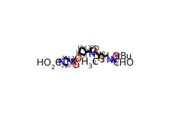 Cc1sc(C=NN(C=O)OC(C)(C)C)cc1-c1nc(-c2cccc(OCC(=O)N3CCN(C(=O)O)CC3)c2)cs1